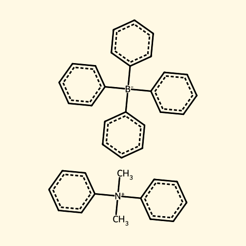 C[N+](C)(c1ccccc1)c1ccccc1.c1ccc([B-](c2ccccc2)(c2ccccc2)c2ccccc2)cc1